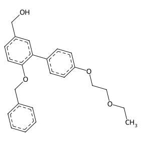 CCOCCOc1ccc(-c2cc(CO)ccc2OCc2ccccc2)cc1